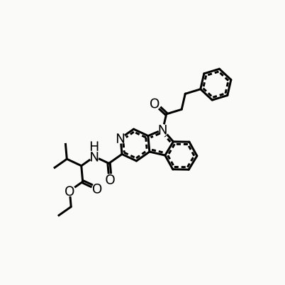 CCOC(=O)C(NC(=O)c1cc2c3ccccc3n(C(=O)CCc3ccccc3)c2cn1)C(C)C